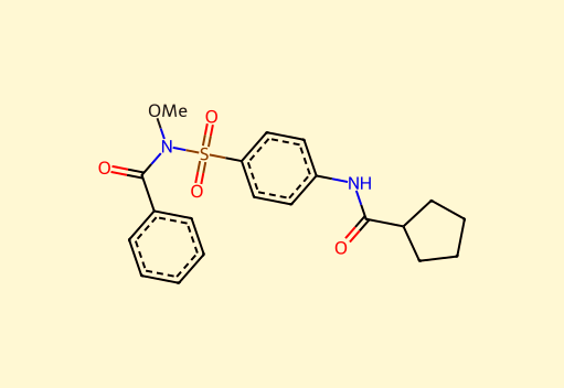 CON(C(=O)c1ccccc1)S(=O)(=O)c1ccc(NC(=O)C2CCCC2)cc1